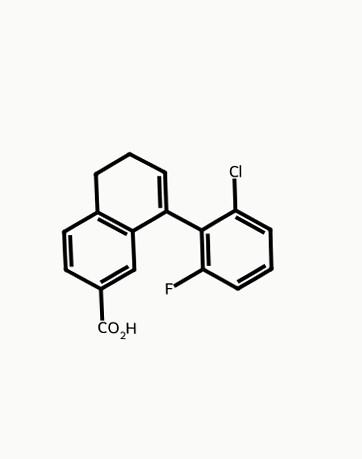 O=C(O)c1ccc2c(c1)C(c1c(F)cccc1Cl)=CCC2